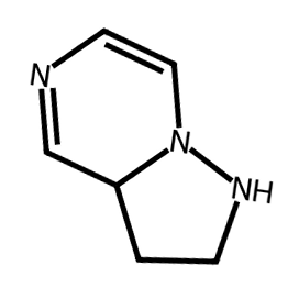 C1=CN2NCCC2C=N1